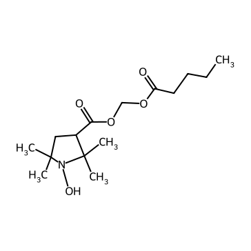 CCCCC(=O)OCOC(=O)C1CC(C)(C)N(O)C1(C)C